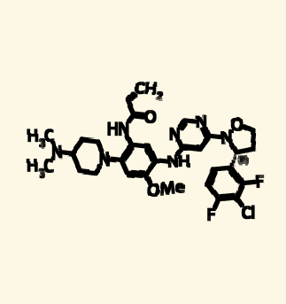 C=CC(=O)Nc1cc(Nc2cc(N3OCC[C@@H]3c3ccc(F)c(Cl)c3F)ncn2)c(OC)cc1N1CCC(N(C)C)CC1